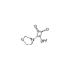 O=c1c(O)c(N2CCOC2)c1=O